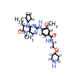 CCC1C(=O)N(C)c2cnc(Nc3ccc(C(=O)NCCOC4CCNCC4)cc3OC)nc2N1C1CCCC1